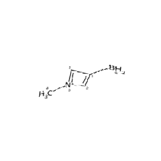 BC1=C[N+](C)=C1